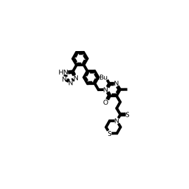 CCCCc1nc(C)c(CCC(=S)N2CCSCC2)c(=O)n1Cc1ccc(-c2ccccc2-c2nnn[nH]2)cc1